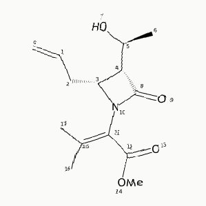 C=CC[C@@H]1[C@H]([C@H](C)O)C(=O)N1C(C(=O)OC)=C(C)C